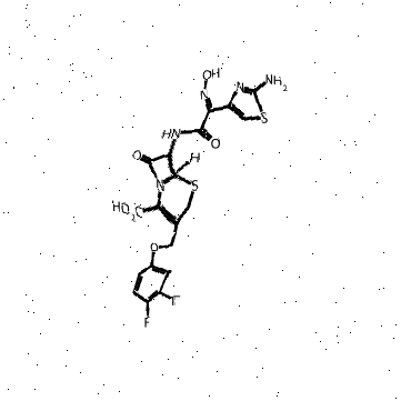 Nc1nc(C(=NO)C(=O)NC2C(=O)N3C(C(=O)O)=C(COc4ccc(F)c(F)c4)CS[C@@H]23)cs1